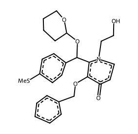 CSc1ccc(C(OC2CCCCO2)c2c(OCc3ccccc3)c(=O)ccn2CCO)cc1